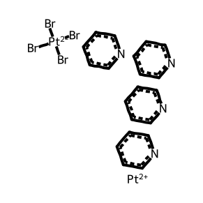 [Br][Pt-2]([Br])([Br])[Br].[Pt+2].c1ccncc1.c1ccncc1.c1ccncc1.c1ccncc1